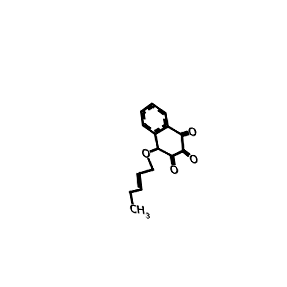 CCC=CCOC1C(=O)C(=O)C(=O)c2ccccc21